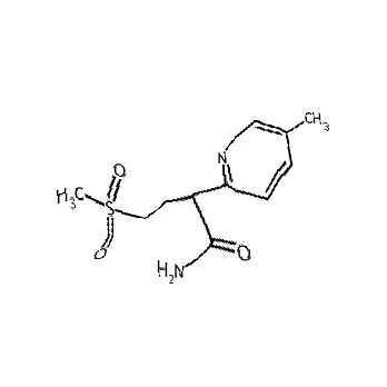 Cc1ccc(C(CCS(C)(=O)=O)C(N)=O)nc1